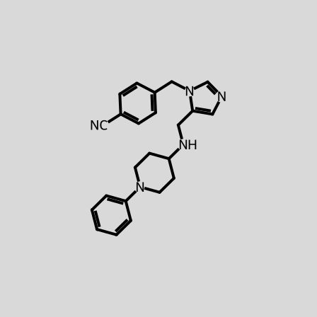 N#Cc1ccc(Cn2cncc2CNC2CCN(c3ccccc3)CC2)cc1